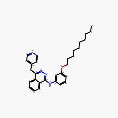 CCCCCCCCCCOc1cccc(Nc2nnc(Cc3ccncc3)c3ccccc23)c1